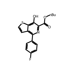 CCCCOC(=O)c1nc(-c2ccc(F)cc2)c2ccsc2c1O